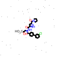 O=C(NN(Cc1ccc(-c2cccc(Cl)c2)cc1)CC(O)C(=O)O)c1cc(C(=O)N2CCCC2)n[nH]1